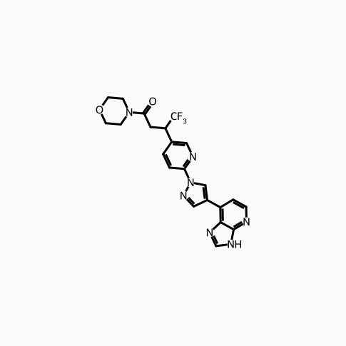 O=C(CC(c1ccc(-n2cc(-c3ccnc4[nH]cnc34)cn2)nc1)C(F)(F)F)N1CCOCC1